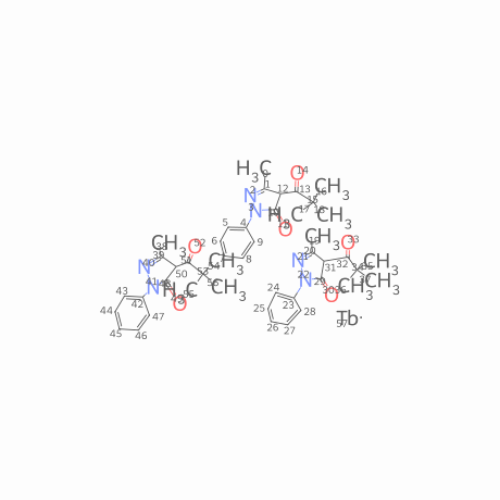 CC1=NN(c2ccccc2)C(=O)C1C(=O)C(C)(C)C.CC1=NN(c2ccccc2)C(=O)C1C(=O)C(C)(C)C.CC1=NN(c2ccccc2)C(=O)C1C(=O)C(C)(C)C.[Tb]